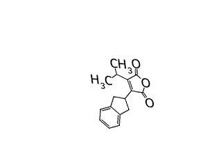 CC(C)C1=C(C2Cc3ccccc3C2)C(=O)OC1=O